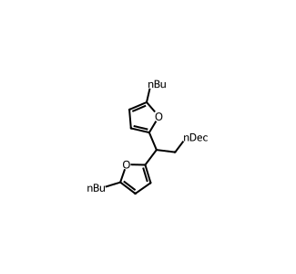 CCCCCCCCCCCC(c1ccc(CCCC)o1)c1ccc(CCCC)o1